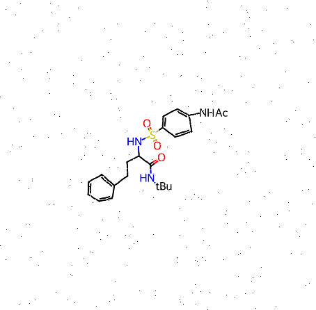 CC(=O)Nc1ccc(S(=O)(=O)NC(CCc2ccccc2)C(=O)NC(C)(C)C)cc1